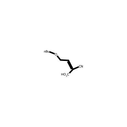 CCCCOCC=C(C#N)C(=O)O